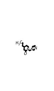 CCCC1CCN(Cn2ccnc2)C(=O)C1